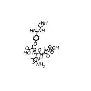 Cc1sc(N)nc1C(=NOC(COc1ccc(C(=N)NC2CCNC2)cc1)C(=O)O)C(=O)N[C@@H]1C(=O)N(S(=O)(=O)O)[C@H]1C